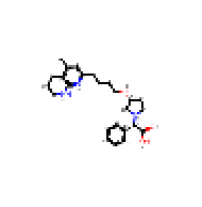 Cc1cc(CCCCO[C@@H]2CCN([C@@H](C(=O)O)c3ccccc3)C2)nc2c1CCCN2